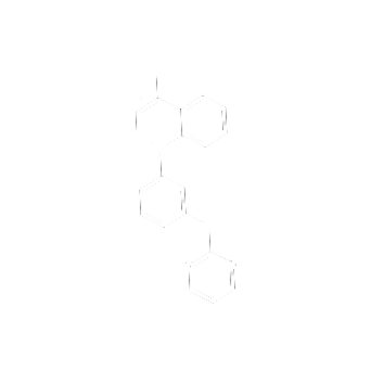 C/C=C(/C(=O)O)c1ccccc1Oc1cccc(Oc2ncccn2)c1